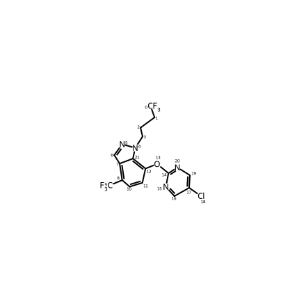 FC(F)(F)CCCn1ncc2c(C(F)(F)F)ccc(Oc3ncc(Cl)cn3)c21